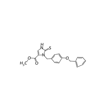 COC(=O)c1c[nH]c(=S)n1Cc1ccc(OCc2ccccc2)cc1